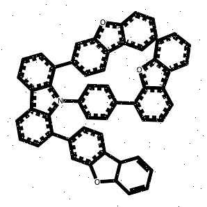 C1=CC2Oc3cc(-c4cccc5c6cccc(-c7ccc8c(c7)oc7ccccc78)c6n(-c6ccc(-c7cccc8c7oc7ccccc78)cc6)c45)ccc3C2C=C1